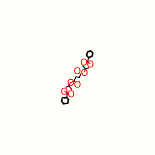 O=C(CCC(=O)OC1COC(c2ccccc2)OC1)OC1COC(c2ccccc2)OC1